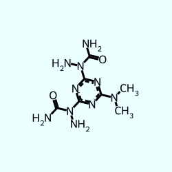 CN(C)c1nc(N(N)C(N)=O)nc(N(N)C(N)=O)n1